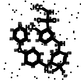 CNS(=O)(=O)c1cc(NC2=NC(Nc3ccc(Oc4ccncc4)cc3)C(F)(F)C=N2)ccc1C